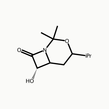 CC(C)C1CC2[C@H](O)C(=O)N2C(C)(C)O1